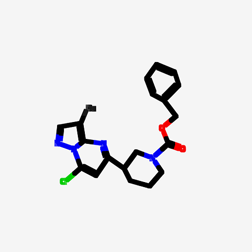 CCC(C)c1cnn2c(Cl)cc(C3CCCN(C(=O)OCc4ccccc4)C3)nc12